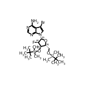 CC(C)(C)[Si](C)(C)OC[C@H]1O[C@@H](n2cc(Br)c3c(N)ncnc32)[C@H](F)[C@@H]1O[Si](C)(C)C(C)(C)C